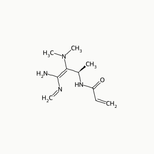 C=CC(=O)N[C@H](C)/C(=C(/N)N=C)N(C)C